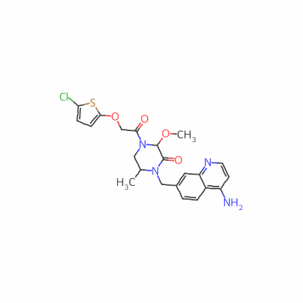 COC1C(=O)N(Cc2ccc3c(N)ccnc3c2)C(C)CN1C(=O)COc1ccc(Cl)s1